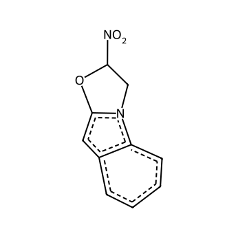 O=[N+]([O-])C1Cn2c(cc3ccccc32)O1